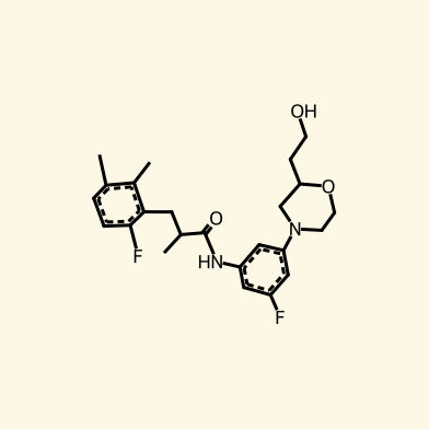 Cc1ccc(F)c(CC(C)C(=O)Nc2cc(F)cc(N3CCOC(CCO)C3)c2)c1C